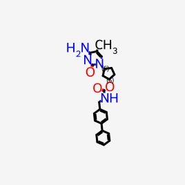 Cc1cn([C@H]2CC[C@H](OC(=O)NCc3ccc(-c4ccccc4)cc3)C2)c(=O)nc1N